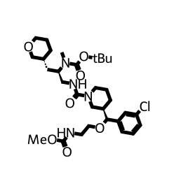 COC(=O)NCCOC(c1cccc(Cl)c1)[C@@H]1CCCN(C(=O)NC[C@@H](C[C@H]2CCCOC2)N(C)C(=O)OC(C)(C)C)C1